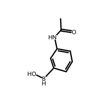 CC(=O)Nc1cccc(BO)c1